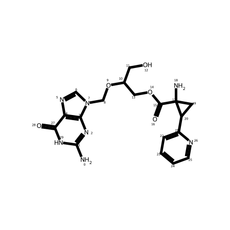 Nc1nc2c(ncn2COC(CO)COC(=O)C2(N)CC2c2ccccn2)c(=O)[nH]1